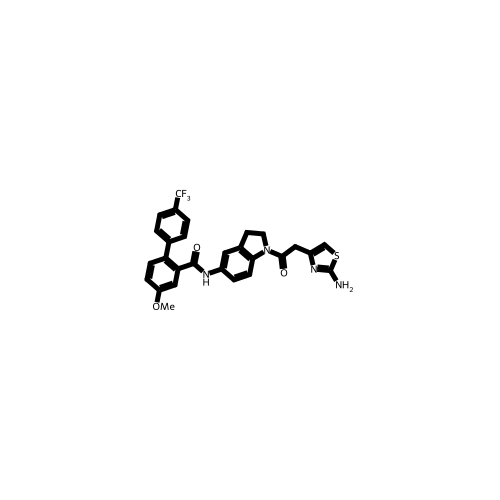 COc1ccc(-c2ccc(C(F)(F)F)cc2)c(C(=O)Nc2ccc3c(c2)CCN3C(=O)Cc2csc(N)n2)c1